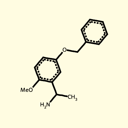 COc1ccc(OCc2ccccc2)cc1C(C)N